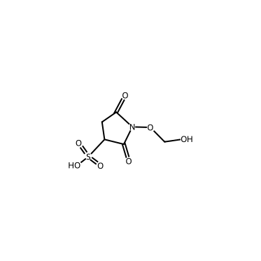 O=C1CC(S(=O)(=O)O)C(=O)N1OCO